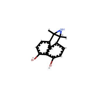 CC1(c2ccc(Br)cc2)NC1(C)c1ccc(Br)cc1